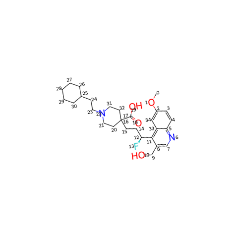 COc1ccc2ncc(CO)c([C@@H](F)CCC3(C(=O)O)CCN(CCC4CCCCC4)CC3)c2c1